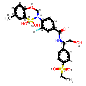 CCS(=O)(=O)c1ccc([C@H](CO)NC(=O)c2ccc(N3COc4ccc(C)cc4S3(O)O)c(F)c2)cc1